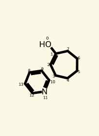 OC1=CCCCCC1.c1ccncc1